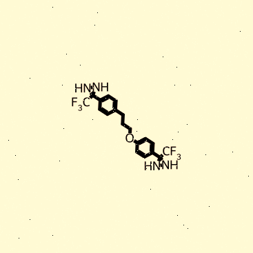 FC(F)(F)C1(c2ccc(CCCOc3ccc(C4(C(F)(F)F)NN4)cc3)cc2)NN1